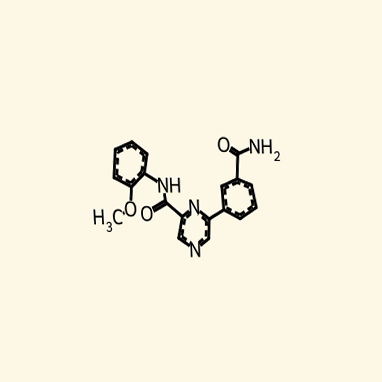 COc1ccccc1NC(=O)c1cncc(-c2cccc(C(N)=O)c2)n1